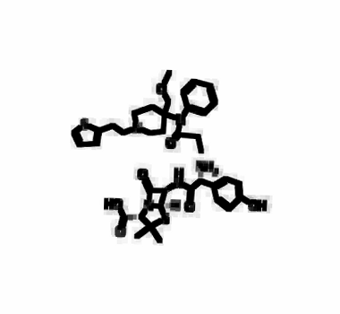 CC1(C)S[C@@H]2[C@H](NC(=O)[C@H](N)c3ccc(O)cc3)C(=O)N2[C@H]1C(=O)O.CCC(=O)N(c1ccccc1)C1(COC)CCN(CCc2cccs2)CC1